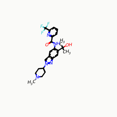 CN1CCC(n2cc3cc(NC(=O)c4cccc(C(F)(F)F)n4)c(C(C)(C)O)cc3n2)CC1